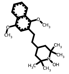 COc1cc(CCC2CC(C)(C)N(O)C(C)(C)C2)c(OC)c2ccccc12